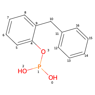 OP(O)Oc1ccccc1Cc1ccccc1